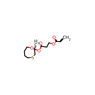 C=CC(=O)OCCC(=O)OC1(C)CSCCCCO1